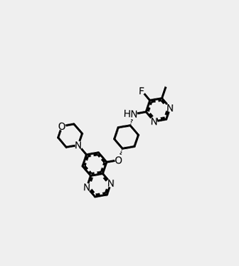 Cc1ncnc(N[C@H]2CC[C@@H](Oc3cc(N4CCOCC4)cc4nccnc34)CC2)c1F